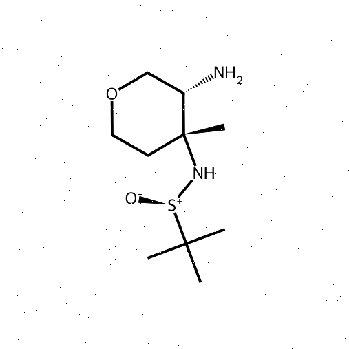 CC(C)(C)[S@@+]([O-])N[C@]1(C)CCOC[C@@H]1N